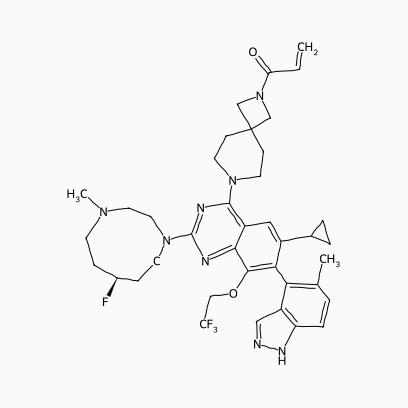 C=CC(=O)N1CC2(CCN(c3nc(N4CC[C@@H](F)CCN(C)CC4)nc4c(OCC(F)(F)F)c(-c5c(C)ccc6[nH]ncc56)c(C5CC5)cc34)CC2)C1